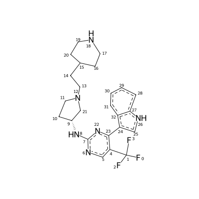 FC(F)(F)c1cnc(N[C@@H]2CCN(CCC3CCNCC3)C2)nc1-c1c[nH]c2ccccc12